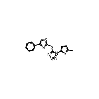 Cc1ccc(-n2nnnc2Sc2nc(-c3ccccc3)cs2)s1